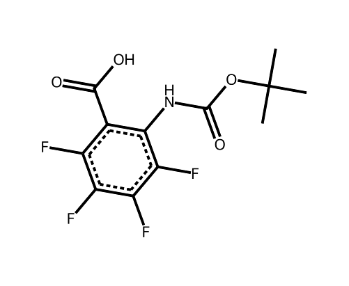 CC(C)(C)OC(=O)Nc1c(F)c(F)c(F)c(F)c1C(=O)O